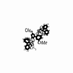 COc1cc(-c2cc(OC)cc(C(C)(C)C)c2OP2OC(C)C(c3ccccc3)(c3ccccc3)O2)c(OP2OC(C)C(c3ccccc3)(c3ccccc3)O2)c(C(C)(C)C)c1